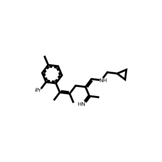 CC(=N)/C(=C\NCC1CC1)C/C(C)=C(/C)c1ccc(C)cc1C(C)C